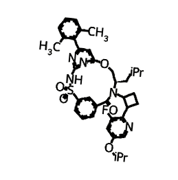 Cc1cccc(C)c1-c1cc2nc(n1)NS(=O)(=O)c1cccc(c1)C(=O)N(C1CCC1c1ncc(OC(C)C)cc1F)[C@H](CC(C)C)CO2